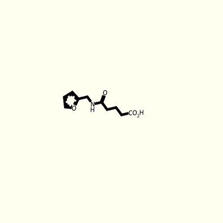 O=C(O)CCCC(=O)NCc1ccco1